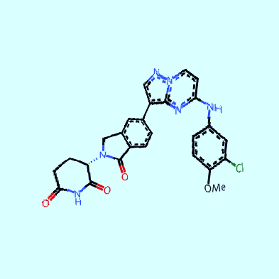 COc1ccc(Nc2ccn3ncc(-c4ccc5c(c4)CN([C@H]4CCC(=O)NC4=O)C5=O)c3n2)cc1Cl